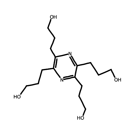 OCCCc1nc(CCCO)c(CCCO)nc1CCCO